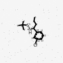 CCCC(NSC(C)(C)C)c1cccc(Cl)c1